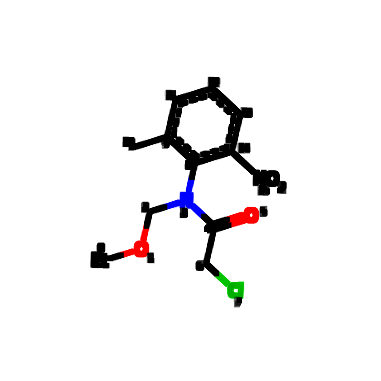 CCOCN(C(=O)CCl)c1c(C)cccc1[N+](=O)[O-]